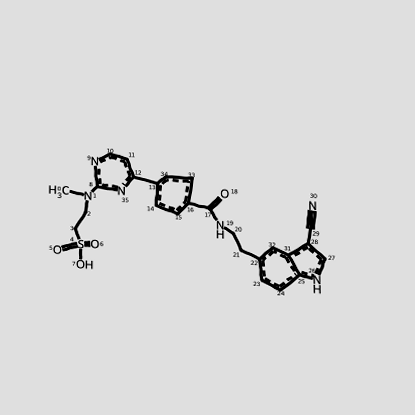 CN(CCS(=O)(=O)O)c1nccc(-c2ccc(C(=O)NCCc3ccc4[nH]cc(C#N)c4c3)cc2)n1